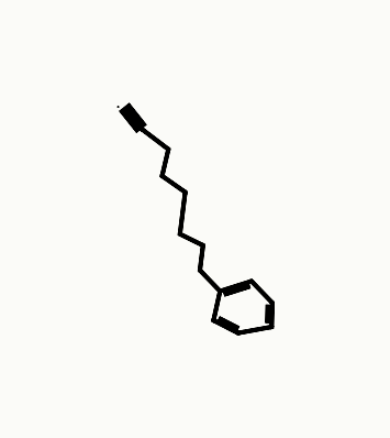 [C]#CCCCCCCc1ccccc1